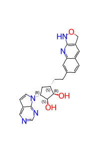 O[C@@H]1[C@@H](CCc2ccc3cc4c(nc3c2)NOC4)C[C@@H](n2ccc3cncnc32)[C@@H]1O